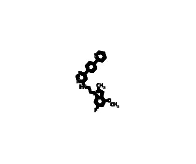 COc1cc(F)cc2c1cc(C)n2CCNc1cc(-c2ccc(-c3ccccn3)cc2)ncn1